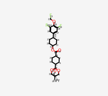 CCCC12COC(C3CCC(C(=O)OC4CCC(c5cc(F)c(OCF)c(F)c5)CC4)CC3)(OC1)OC2